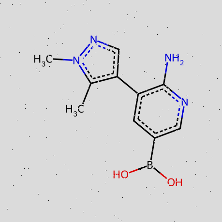 Cc1c(-c2cc(B(O)O)cnc2N)cnn1C